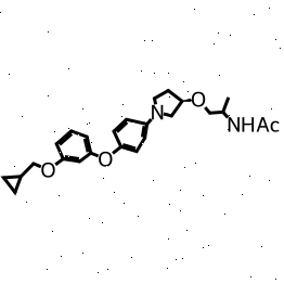 CC(=O)NC(C)CO[C@@H]1CCN(c2ccc(Oc3cccc(OCC4CC4)c3)cc2)C1